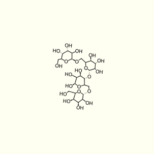 OCC1O[C@H](OCC2O[C@@H](O[C@@H]3C(CO[C@H]4OC(CO)[C@H](O)[C@H](O)C4O)O[C@@H](O)C(O)[C@H]3O)C(O)[C@@H](O)[C@@H]2O)C(O)[C@@H](O)[C@H]1O